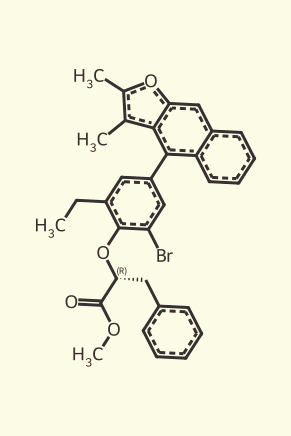 CCc1cc(-c2c3ccccc3cc3oc(C)c(C)c23)cc(Br)c1O[C@H](Cc1ccccc1)C(=O)OC